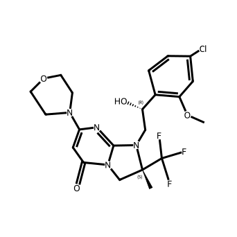 COc1cc(Cl)ccc1[C@@H](O)CN1c2nc(N3CCOCC3)cc(=O)n2C[C@@]1(C)C(F)(F)F